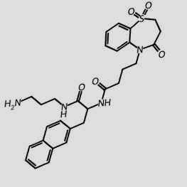 NCCCNC(=O)C(Cc1ccc2ccccc2c1)NC(=O)CCCN1C(=O)CCS(=O)(=O)c2ccccc21